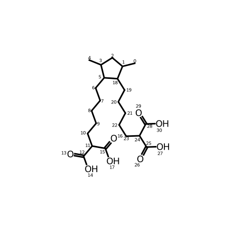 CC1CC(C)C(CCCCCC(C(=O)O)C(=O)O)C1CCCCCC(C(=O)O)C(=O)O